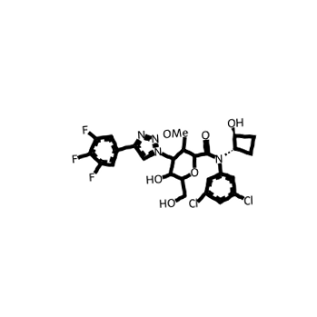 COC1C(C(=O)N(c2cc(Cl)cc(Cl)c2)[C@H]2CC[C@@H]2O)OC(CO)C(O)C1n1cc(-c2cc(F)c(F)c(F)c2)nn1